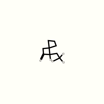 O=C1CC2(CCC2)C1(Cl)CC(Cl)(Cl)Cl